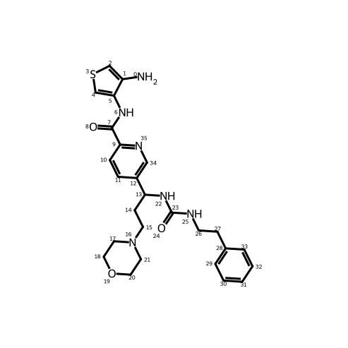 Nc1cscc1NC(=O)c1ccc(C(CCN2CCOCC2)NC(=O)NCCc2ccccc2)cn1